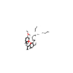 CCCCOC[C@H]1O[C@]2(OCc3cc4sc(C)c(Cc5ccc(CC)cc5)c4cc32)[C@H](OCCCC)[C@@H](OCCCC)[C@@H]1OCCCC